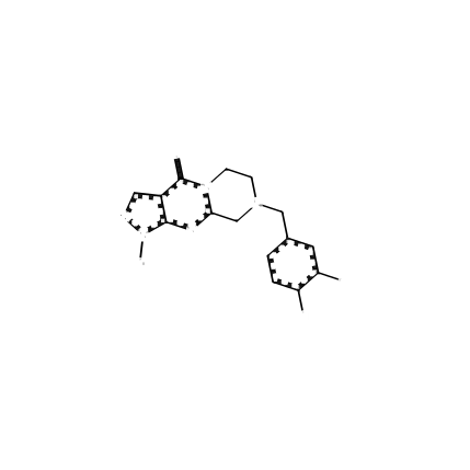 CCCn1ncc2c(=O)n3c(nc21)CN(Cc1ccc(Cl)c(Cl)c1)CC3